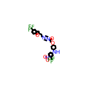 O=C(CO[C@H]1CC[C@H](Nc2ccc([N+](=O)[O-])c(C(F)(F)F)c2)CC1)N1CCN(CCc2cc3cc(C(F)(F)F)ccc3o2)CC1